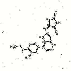 CCOc1ccc(-c2cncc3cc(C=C4SC(=O)NC4=O)oc23)cc1C